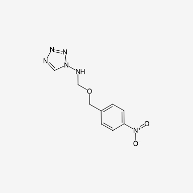 O=[N+]([O-])c1ccc(COCNn2cnnn2)cc1